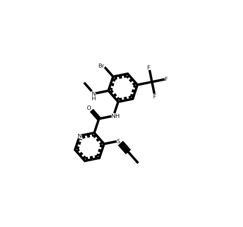 CC#Sc1cccnc1C(=O)Nc1cc(C(F)(F)F)cc(Br)c1NC